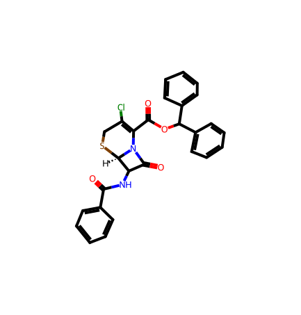 O=C(OC(c1ccccc1)c1ccccc1)C1=C(Cl)CS[C@@H]2C(NC(=O)c3ccccc3)C(=O)N12